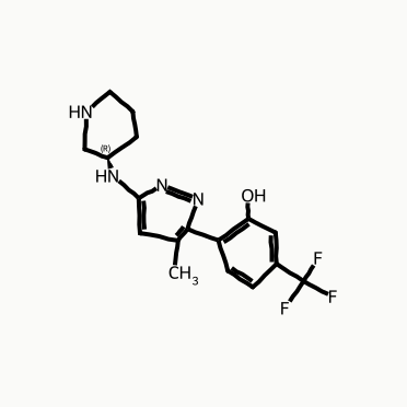 Cc1cc(N[C@@H]2CCCNC2)nnc1-c1ccc(C(F)(F)F)cc1O